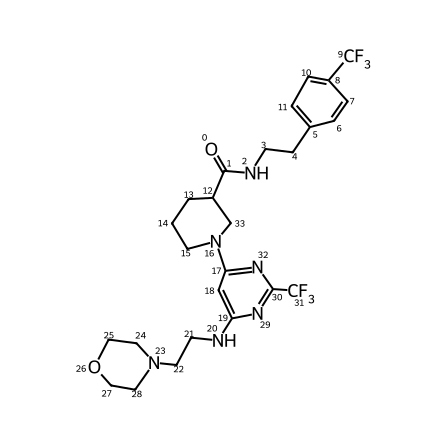 O=C(NCCc1ccc(C(F)(F)F)cc1)C1CCCN(c2cc(NCCN3CCOCC3)nc(C(F)(F)F)n2)C1